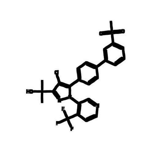 CC(C)(O)c1nn(-c2cnccc2C(F)(F)F)c(-c2ccc(-c3cccc(S(C)(=O)=O)c3)cc2)c1Cl